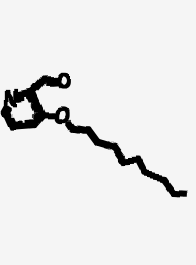 CCCCCCCCCCOc1cccnc1C=O